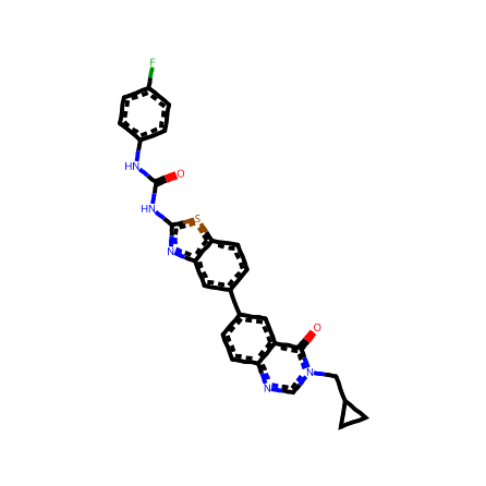 O=C(Nc1ccc(F)cc1)Nc1nc2cc(-c3ccc4ncn(CC5CC5)c(=O)c4c3)ccc2s1